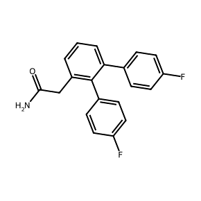 NC(=O)Cc1cccc(-c2ccc(F)cc2)c1-c1ccc(F)cc1